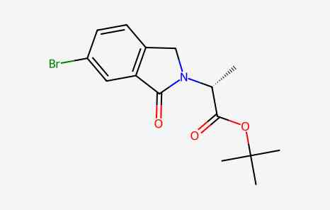 C[C@H](C(=O)OC(C)(C)C)N1Cc2ccc(Br)cc2C1=O